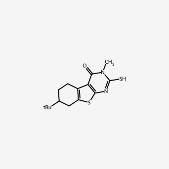 Cn1c(S)nc2sc3c(c2c1=O)CCC(C(C)(C)C)C3